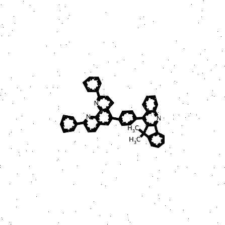 CC1(C)c2ccccc2-c2nc3ccccc3c(-c3ccc(-c4cc5ccc(-c6ccccc6)nc5c5nc(-c6ccccc6)ccc45)cc3)c21